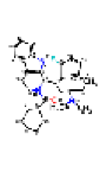 CCC(CCC1c2[nH]c3ccccc3c2CCN1C(=O)C1CCCCC1)(c1cccc(F)c1)N(C)C